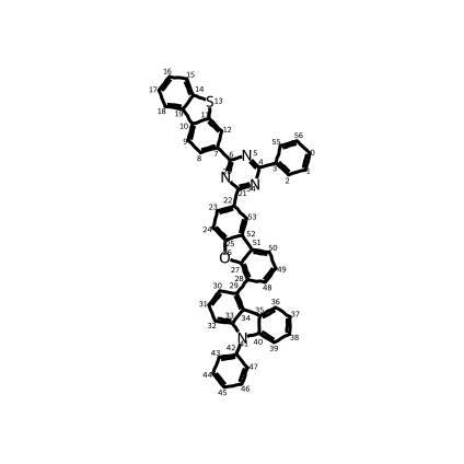 c1ccc(-c2nc(-c3ccc4c(c3)sc3ccccc34)nc(-c3ccc4oc5c(-c6cccc7c6c6ccccc6n7-c6ccccc6)cccc5c4c3)n2)cc1